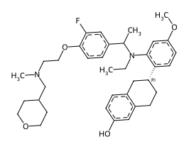 CCN(c1cc(OC)ccc1[C@@H]1CCc2cc(O)ccc2C1)C(C)c1ccc(OCCN(C)CC2CCOCC2)c(F)c1